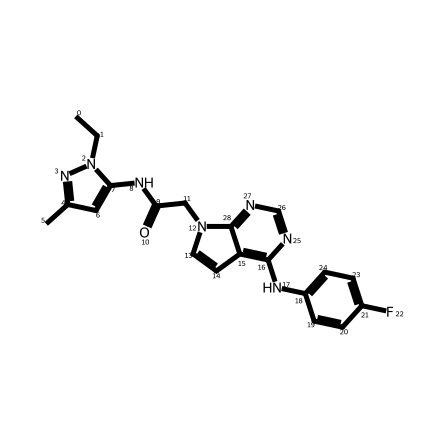 CCn1nc(C)cc1NC(=O)Cn1ccc2c(Nc3ccc(F)cc3)ncnc21